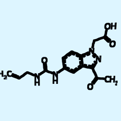 C=CCNC(=O)Nc1ccc2c(c1)c(C(C)=O)nn2CC(=O)O